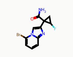 NC(=O)C1(c2cn3c(Br)cccc3n2)CC1F